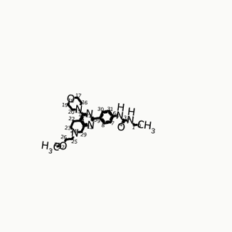 CCNC(=O)Nc1ccc(-c2nc3c(c(N4CCOCC4)n2)CCN(CCOC)C3)cc1